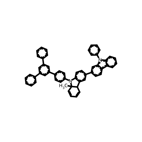 CC12C=CC=CC1c1cc(-c3ccc4c5ccccc5n(-c5ccccc5)c4c3)ccc1N2c1ccc(-c2cc(-c3ccccc3)cc(-c3ccccc3)c2)cc1